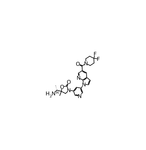 C[C@@H](N)C1(C)CN(c2cncc(-n3ccc4cc(C(=O)N5CCC(F)(F)CC5)cnc43)c2)C(=O)O1